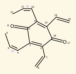 C=CC1=C(/C=C\C)C(=O)C(/C=C\C)=C(C=C)C1=O